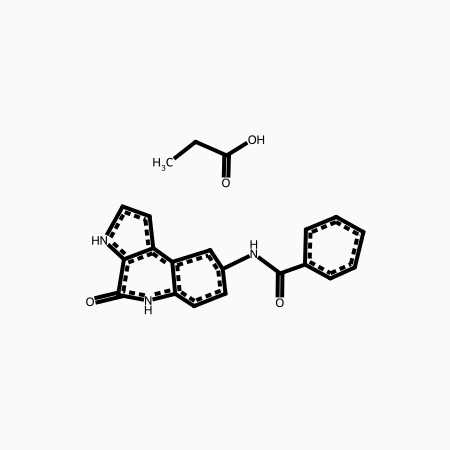 CCC(=O)O.O=C(Nc1ccc2[nH]c(=O)c3[nH]ccc3c2c1)c1ccccc1